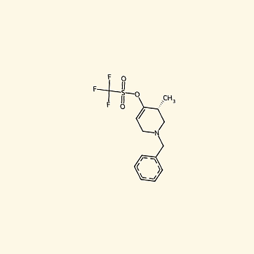 C[C@@H]1CN(Cc2ccccc2)CC=C1OS(=O)(=O)C(F)(F)F